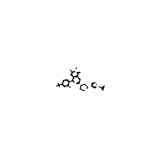 Cc1cc2c(-c3ccc(C(F)(F)F)cc3F)nc([C@@H]3CCO[C@H](c4cnn(C5CC5)c4)C3)cc2c(=O)n1C